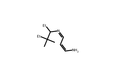 CCC(/N=C\C=C/N)C(C)(C)CC